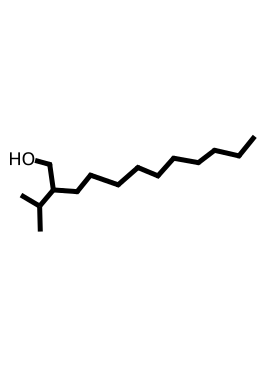 CCCCCCCCCCC(CO)C(C)C